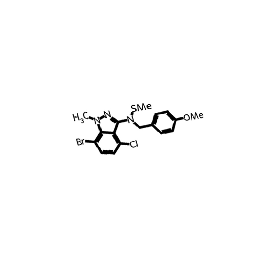 COc1ccc(CN(SC)c2nn(C)c3c(Br)ccc(Cl)c23)cc1